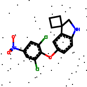 O=[N+]([O-])c1cc(Cl)c(Oc2ccc3c(c2)C2(CCC2)CN3)c(Cl)c1